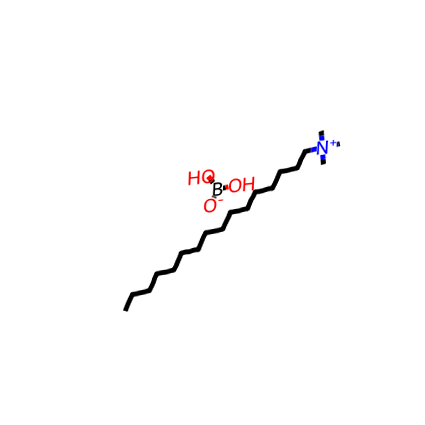 CCCCCCCCCCCCCCCC[N+](C)(C)C.[O-]B(O)O